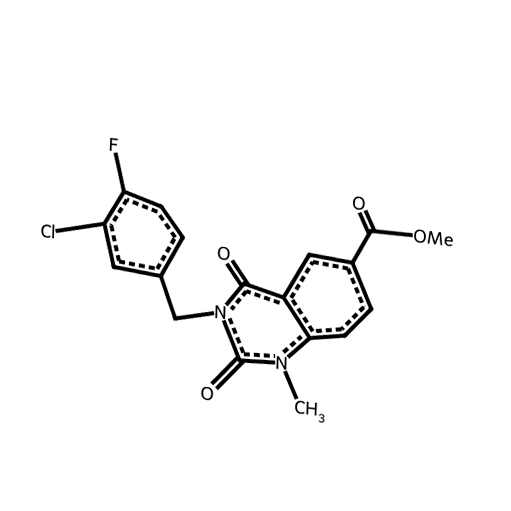 COC(=O)c1ccc2c(c1)c(=O)n(Cc1ccc(F)c(Cl)c1)c(=O)n2C